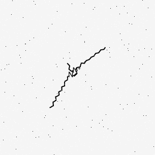 CCCCCCCCCCCCCn1cc[n+](CCCCCCCCCCCCC)c1CCC